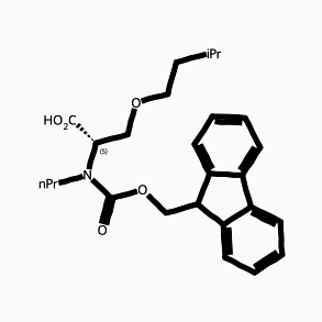 CCCN(C(=O)OCC1c2ccccc2-c2ccccc21)[C@@H](COCCC(C)C)C(=O)O